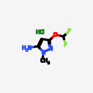 Cl.Cn1nc(OC(F)F)cc1N